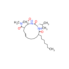 CCCCCCCC1CCCC/C=C/CC(C(=O)N(C)C)C[C@H](C=O)NC(=O)[C@H](CC(C)C)NC1=O